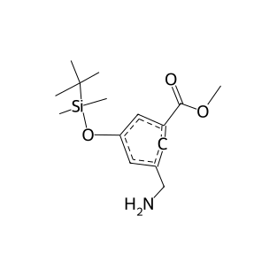 COC(=O)c1cc(CN)cc(O[Si](C)(C)C(C)(C)C)c1